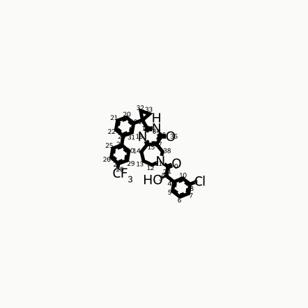 O=C([C@H](O)c1cccc(Cl)c1)N1CCCc2nc(C3(c4cccc(-c5ccc(C(F)(F)F)cc5)c4)CC3)[nH]c(=O)c2C1